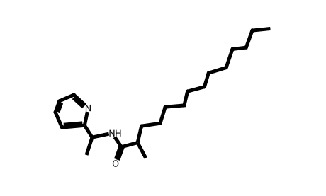 CCCCCCCCCCCCC(C)C(=O)NC(C)c1ccccn1